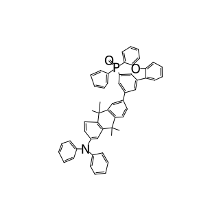 CC1(C)c2ccc(N(c3ccccc3)c3ccccc3)cc2C(C)(C)c2ccc(-c3cc(P(=O)(c4ccccc4)c4ccccc4)c4oc5ccccc5c4c3)cc21